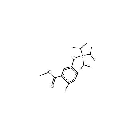 COC(=O)c1cc(O[Si](C(C)C)(C(C)C)C(C)C)ccc1I